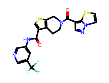 O=C(Nc1cncc(C(F)(F)F)c1)c1csc2c1CCN(C(=O)c1cnn3ccsc13)C2